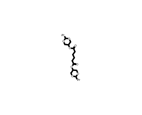 CC(C)C1OCC(OC(=O)CCCCC(=O)OC2COC(C(C)C)OC2)CO1